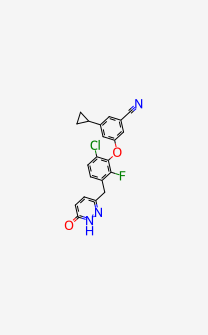 N#Cc1cc(Oc2c(Cl)ccc(Cc3ccc(=O)[nH]n3)c2F)cc(C2CC2)c1